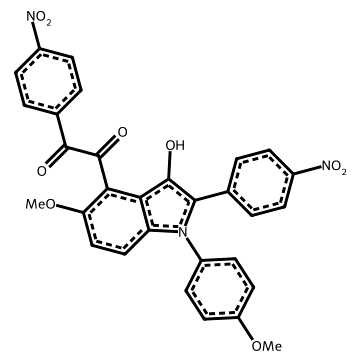 COc1ccc(-n2c(-c3ccc([N+](=O)[O-])cc3)c(O)c3c(C(=O)C(=O)c4ccc([N+](=O)[O-])cc4)c(OC)ccc32)cc1